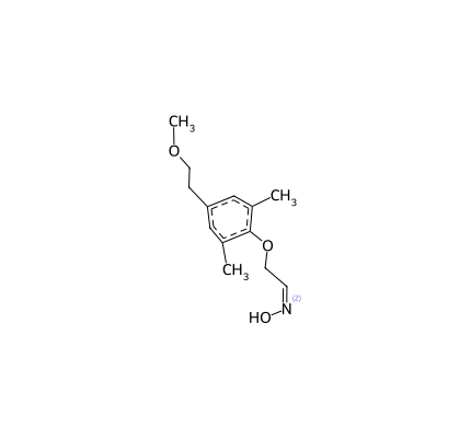 COCCc1cc(C)c(OC/C=N\O)c(C)c1